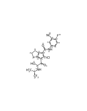 C[C@@H](NC(O)C(=O)c1c(Cl)c(C(=O)Nc2ccc(F)c(C#N)c2)c2n1CCC2)C(F)(F)F